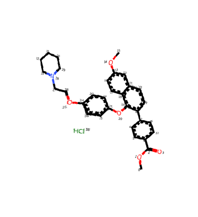 COC(=O)c1ccc(-c2ccc3cc(OC)ccc3c2Oc2ccc(OCCN3CCCCC3)cc2)cc1.Cl